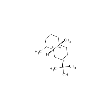 CC1CCC[C@]2(C)CC[C@@H](C(C)(C)O)C[C@H]12